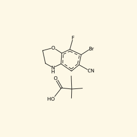 CC(C)(C)C(=O)O.N#Cc1cc2c(c(F)c1Br)OCCN2